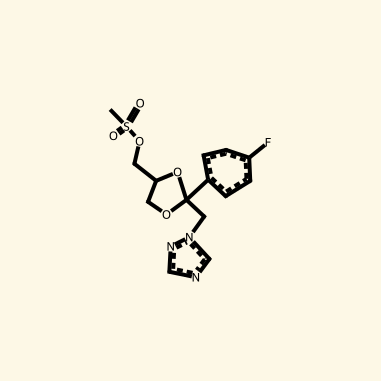 CS(=O)(=O)OCC1COC(Cn2cncn2)(c2ccc(F)cc2)O1